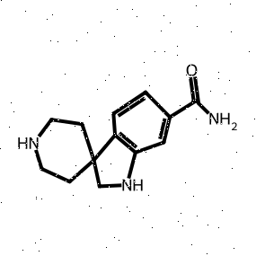 NC(=O)c1ccc2c(c1)NCC21CCNCC1